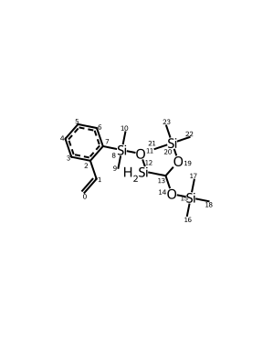 C=Cc1ccccc1[Si](C)(C)O[SiH2]C(O[Si](C)(C)C)O[Si](C)(C)C